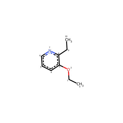 CCOc1c[c]cnc1CC